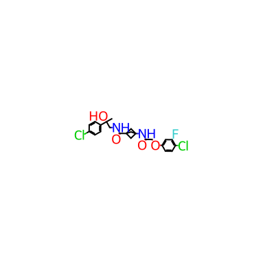 CC(O)(CNC(=O)C12CC(NC(=O)COc3ccc(Cl)c(F)c3)(C1)C2)c1ccc(Cl)cc1